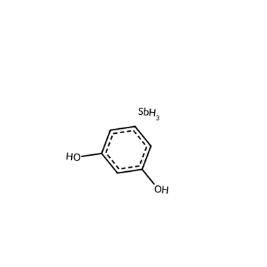 Oc1cccc(O)c1.[SbH3]